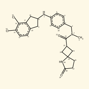 CN(Cc1ccc(NC2Cc3ccc(Cl)c(Cl)c3C2)cn1)C(=O)C1CC2(CCC(=O)N2)C1